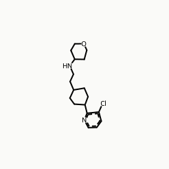 Clc1cccnc1C1CCC(CCNC2CCOCC2)CC1